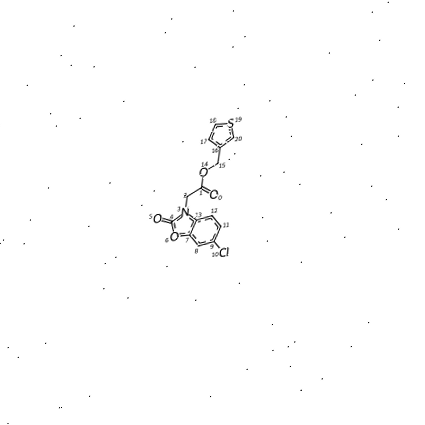 O=C(Cn1c(=O)oc2cc(Cl)ccc21)OCc1ccsc1